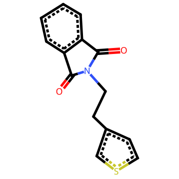 O=C1c2ccccc2C(=O)N1CCc1ccsc1